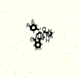 O=C(N[C@@H](Cc1ccc(F)c(F)c1)CN1C(=O)c2ccccc2C1=O)c1ncc[nH]1